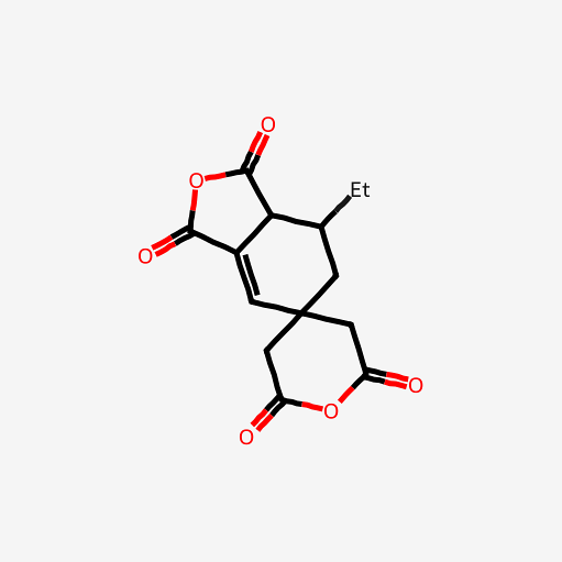 CCC1CC2(C=C3C(=O)OC(=O)C31)CC(=O)OC(=O)C2